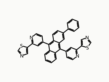 c1ccc(-c2ccc3c(-c4ccnc(-c5cncs5)c4)c4ccccc4c(-c4ccnc(-c5cncs5)c4)c3c2)cc1